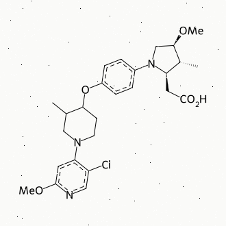 COc1cc(N2CCC(Oc3ccc(N4C[C@@H](OC)[C@H](C)[C@H]4CC(=O)O)cc3)C(C)C2)c(Cl)cn1